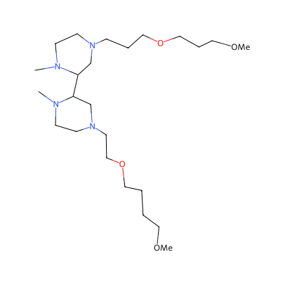 COCCCCOCCN1CCN(C)C(C2CN(CCCOCCCOC)CCN2C)C1